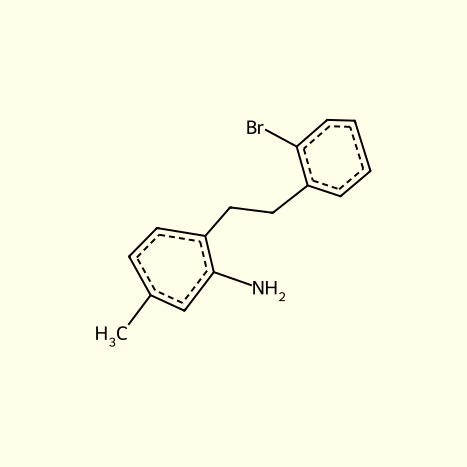 Cc1ccc(CCc2ccccc2Br)c(N)c1